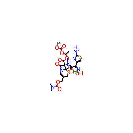 CC(C)OC(=O)OC(C)OC(=O)[C@@]1(NC(=O)/C(=N\O)c2csc(N)n2)C(=O)N2C=C(COC(=O)N(C)C)CS[C@H]21.Cl